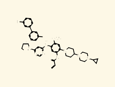 C=CC(=O)Nc1cc(Nc2cc(N3OCC[C@@H]3c3cc(F)cc(-c4cccc(F)c4)c3)ncn2)c(OC)cc1N1CCC(N2CCN(C3CC3)CC2)CC1